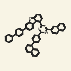 c1ccc(-c2ccc(-c3ccc4c(c3)oc3cccc(C5=NC(c6ccc(-c7cccc8ccccc78)cc6)NC(c6ccc7ccccc7c6)=N5)c34)cc2)cc1